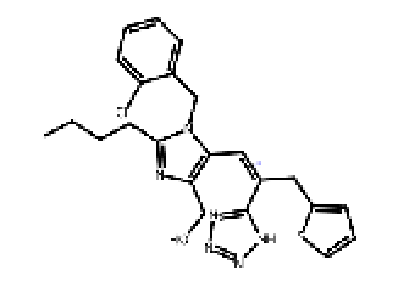 CCCCc1nc(CO)c(/C=C(/Cc2cccs2)c2nnn[nH]2)n1Cc1ccccc1Cl